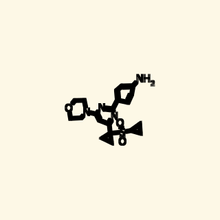 Nc1ccc(-c2nc(N3CCOCC3)cc(C3(S(=O)(=O)C4CC4)CC3)n2)cc1